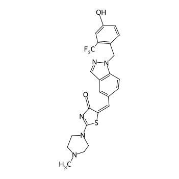 CN1CCN(C2=NC(=O)C(=Cc3ccc4c(cnn4Cc4ccc(O)cc4C(F)(F)F)c3)S2)CC1